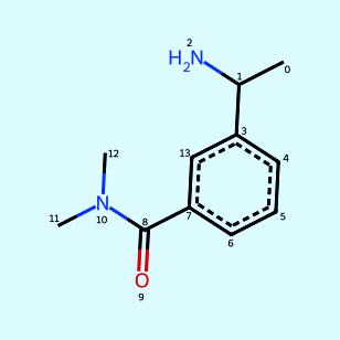 CC(N)c1cccc(C(=O)N(C)C)c1